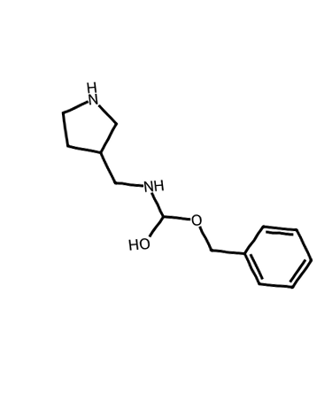 OC(NCC1CCNC1)OCc1ccccc1